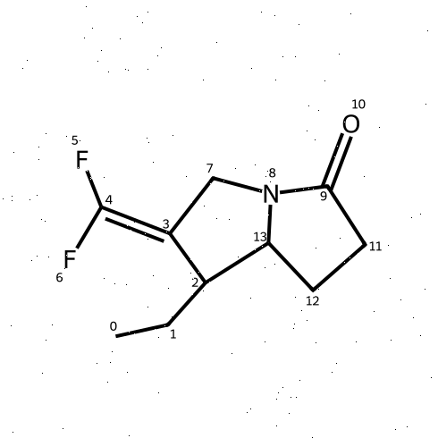 CCC1C(=C(F)F)CN2C(=O)CCC12